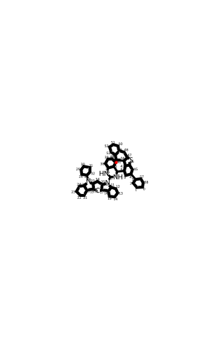 c1ccc(-c2cc(C3NC(n4c5ccccc5c5cc6c7ccccc7n(-c7ccccc7)c6cc54)Nc4ccccc43)c3c(c2)sc2cc4ccccc4cc23)cc1